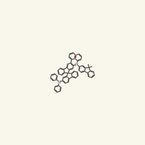 CC1(C)c2ccccc2-c2ccc(N(c3ccccc3)c3cc4c(cc3-c3ccccc3)-c3ccccc3C43c4ccccc4-c4ccc(N(c5ccccc5)c5ccccc5)cc43)cc21